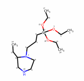 CCO[Si](CCCN1CCNCC1CC)(OCC)OCC